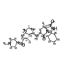 Cc1cc(Nc2ncnc3sc(C(=O)N4CCN(C)CC4)c(C)c23)c(=O)n2c1C(=O)NC21CCCCC1